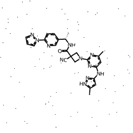 Cc1cc(Nc2cc(C)[nH]n2)nc(N2CC(C#N)(C(=O)N[C@@H](C)c3ccc(-n4cccn4)nc3)C2)n1